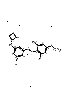 O=C(O)Cc1cc(Cl)c(OCc2cc(NC3CCC3)cc(C(F)(F)F)c2)c(Cl)c1